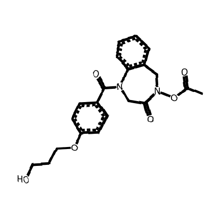 CC(=O)ON1Cc2ccccc2N(C(=O)c2ccc(OCCCO)cc2)CC1=O